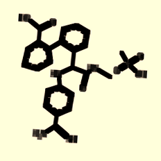 CNC(=O)C(Nc1ccc(C(=N)N)cc1)c1ccccc1-c1ccccc1C(=O)O.CS(=O)(=O)O